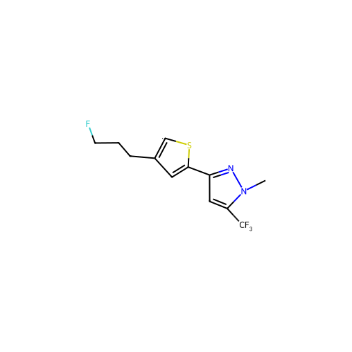 Cn1nc(-c2cc(CCCF)[c]s2)cc1C(F)(F)F